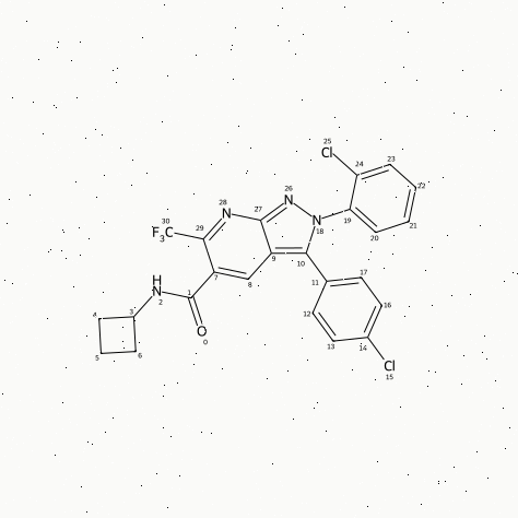 O=C(NC1CCC1)c1cc2c(-c3ccc(Cl)cc3)n(-c3ccccc3Cl)nc2nc1C(F)(F)F